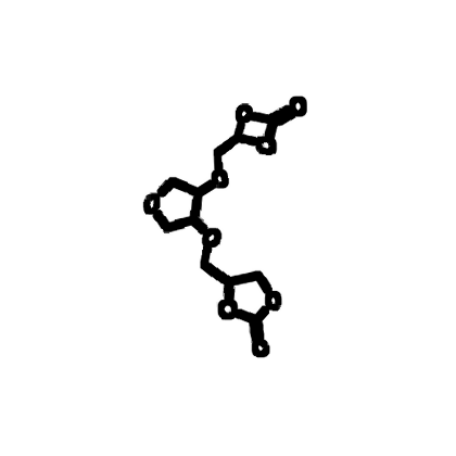 O=C1OCC(COC2COCC2OCC2OC(=O)O2)O1